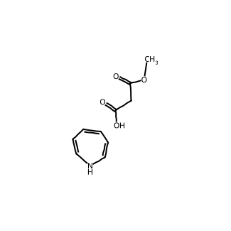 C1=CC=CNC=C1.COC(=O)CC(=O)O